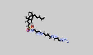 CCCCCC(C)(CC)CC(C)(CC)CCCS(=O)(=O)NCCCNCCCCNCCCN